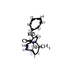 CC1C/C=C(NC(=O)C(F)Oc2ccccc2)/C=C\C=C/1CO